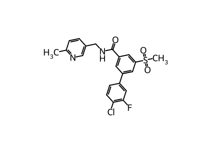 Cc1ccc(CNC(=O)c2cc(-c3ccc(Cl)c(F)c3)cc(S(C)(=O)=O)c2)cn1